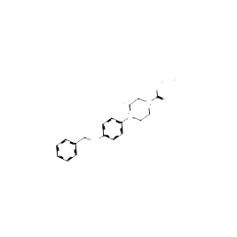 C[C@@H]1CN(c2ccc(OCc3ccccc3)cc2)[C@@H](C)CN1C(=O)OC(C)(C)C